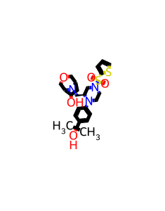 CC(C)(O)c1ccc(N2CCN(S(=O)(=O)c3cccs3)C[C@@H]2CN2C3COCC2C(O)C3)cc1